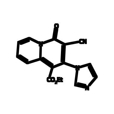 CCOC(=O)c1c(-n2ccnc2)c(C#N)c(=O)n2ccccc12